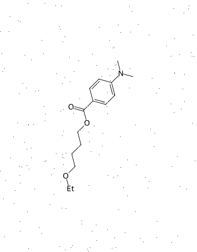 CCOCCCCOC(=O)c1ccc(N(C)C)cc1